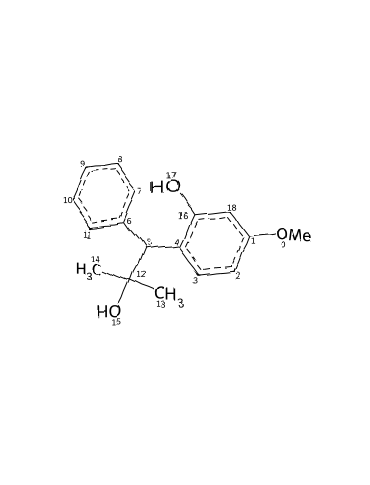 COc1ccc(C(c2ccccc2)C(C)(C)O)c(O)c1